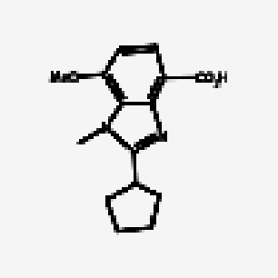 COc1ccc(C(=O)O)c2nc(C3CCCC3)n(C)c12